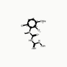 CCCNC(=N)NC(=O)N(C)c1c(Cl)ccc(OC)c1Cl